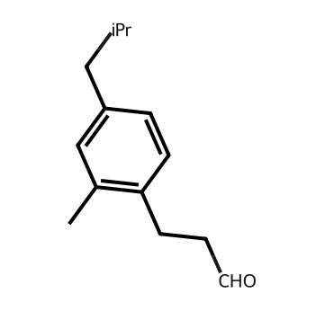 Cc1cc(CC(C)C)ccc1CCC=O